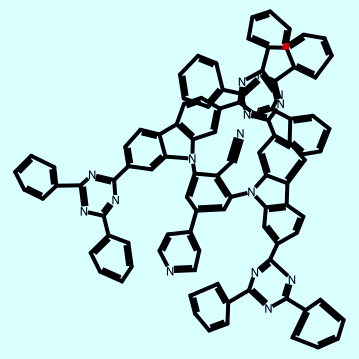 N#Cc1c(-n2c3cc(-c4nc(-c5ccccc5)nc(-c5ccccc5)n4)ccc3c3ccc(-c4nc(-c5ccccc5)nc(-c5ccccc5)n4)cc32)cc(-c2ccncc2)cc1-n1c2cc(-c3nc(-c4ccccc4)nc(-c4ccccc4)n3)ccc2c2ccc(-c3nc(-c4ccccc4)nc(-c4ccccc4)n3)cc21